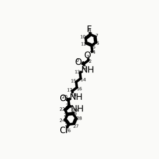 O=C(COCc1ccc(F)cc1)NCCCCCNC(=O)c1cc2cc(Cl)ccc2[nH]1